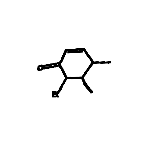 CCC1C(=O)C=CC(C)C1C